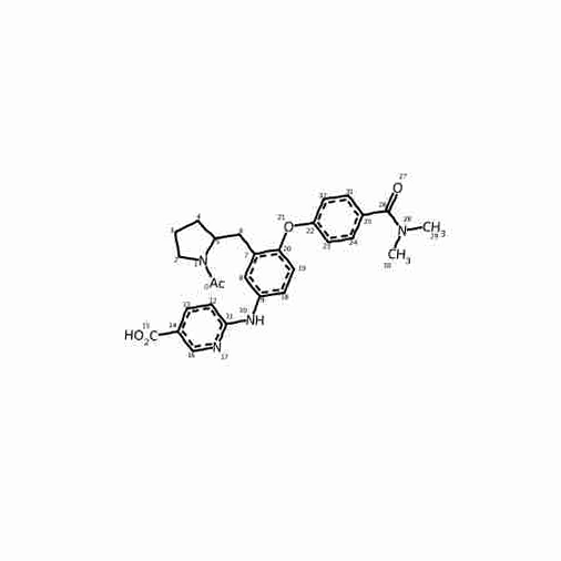 CC(=O)N1CCCC1Cc1cc(Nc2ccc(C(=O)O)cn2)ccc1Oc1ccc(C(=O)N(C)C)cc1